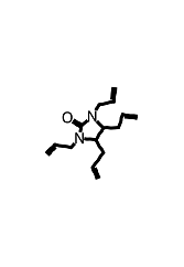 C=CCC1C(CC=C)N(CC=C)C(=O)N1CC=C